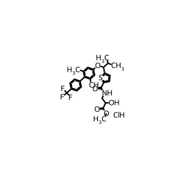 COC(=O)C(O)CNC(=O)c1ccc(C(Oc2cc(C)c(-c3ccc(C(F)(F)F)cc3)c(C)c2)C(C)C)s1.Cl